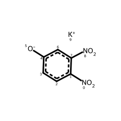 O=[N+]([O-])c1ccc([O-])cc1[N+](=O)[O-].[K+]